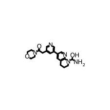 NC(O)N1CCCc2cc(-c3cncc(CC(=O)N4CCOCC4)c3)cnc21